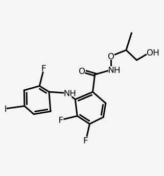 CC(CO)ONC(=O)c1ccc(F)c(F)c1Nc1ccc(I)cc1F